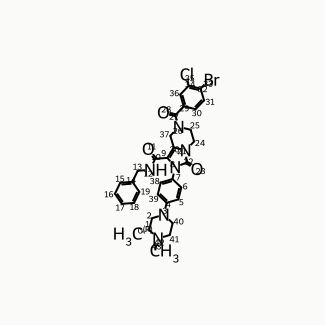 C[C@@H]1CN(c2ccc(-n3c(C(=O)NCc4ccccc4)c4n(c3=O)CCN(C(=O)c3ccc(Br)c(Cl)c3)C4)cc2)CCN1C